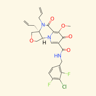 C=CCN1C(=O)c2c(OC)c(=O)c(C(=O)NCc3ccc(F)c(Cl)c3F)cn2[C@H]2COC[C@]21CC=C